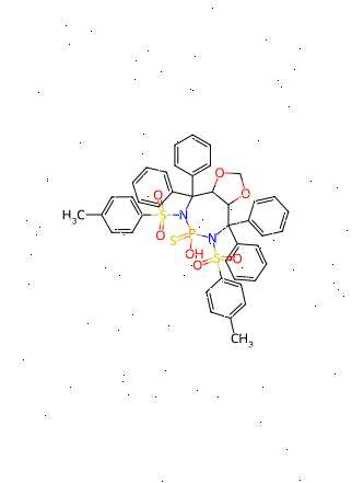 Cc1ccc(S(=O)(=O)N2C(c3ccccc3)(c3ccccc3)C3OCOC3C(c3ccccc3)(c3ccccc3)N(S(=O)(=O)c3ccc(C)cc3)P2(O)=S)cc1